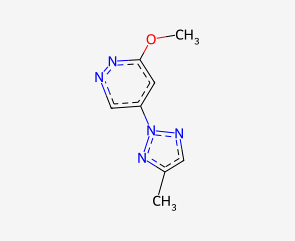 COc1cc(-n2ncc(C)n2)cnn1